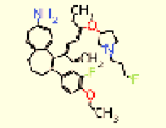 C=C/C(=C\C=C(/CC)O[C@H]1CCN(CCCF)C1)C1=C(c2ccc(OCC)c(F)c2)CCCC2=CCC(N)=CC=C21